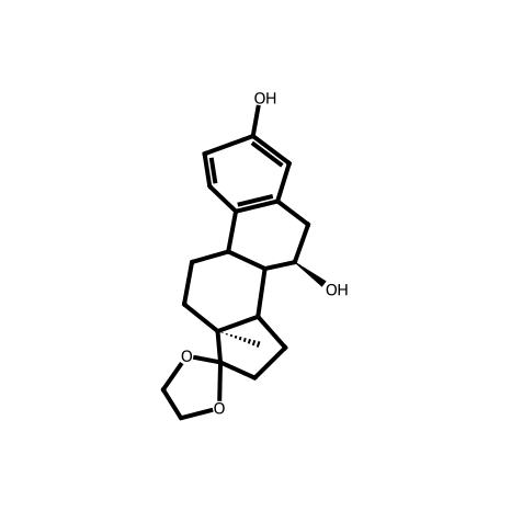 C[C@]12CCC3c4ccc(O)cc4C[C@@H](O)C3C1CCC21OCCO1